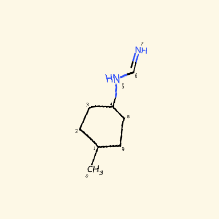 CC1CCC(NC=N)CC1